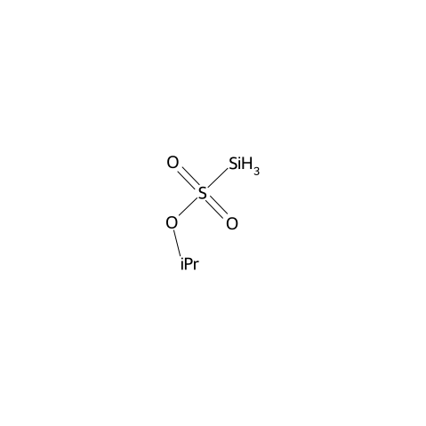 CC(C)OS(=O)(=O)[SiH3]